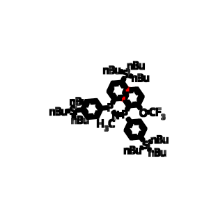 CCCC[Si](CCCC)(CCCC)c1ccc(P(c2ccc([Si](CCCC)(CCCC)CCCC)cc2)N(C)P(c2ccc([Si](CCCC)(CCCC)CCCC)cc2)c2ccccc2OC(F)(F)F)cc1